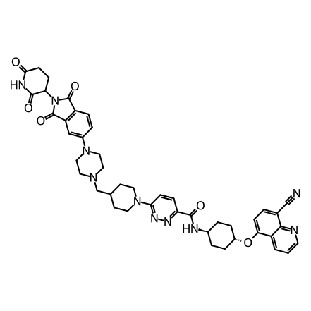 N#Cc1ccc(O[C@H]2CC[C@H](NC(=O)c3ccc(N4CCC(CN5CCN(c6ccc7c(c6)C(=O)N(C6CCC(=O)NC6=O)C7=O)CC5)CC4)nn3)CC2)c2cccnc12